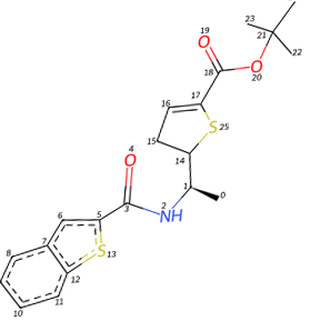 C[C@@H](NC(=O)c1cc2ccccc2s1)C1CC=C(C(=O)OC(C)(C)C)S1